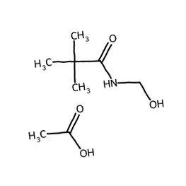 CC(=O)O.CC(C)(C)C(=O)NCO